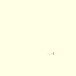 NC1CCCCC12CCCC2